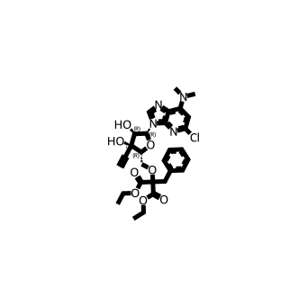 C#C[C@@]1(O)[C@@H](COC(Cc2ccccc2)(C(=O)OCC)C(=O)OCC)O[C@@H](n2cnc3c(N(C)C)cc(Cl)nc32)[C@@H]1O